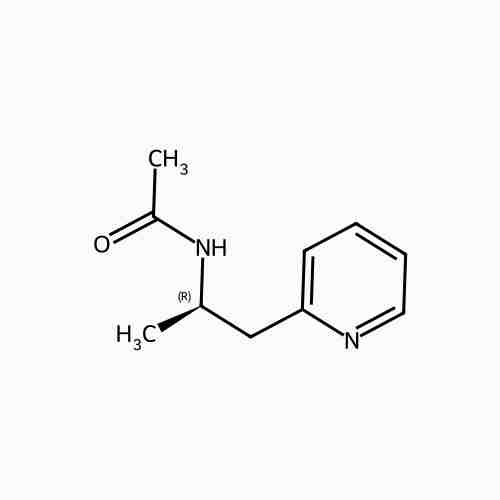 CC(=O)N[C@H](C)Cc1ccccn1